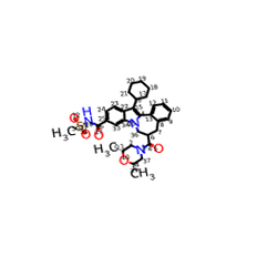 C[C@@H]1CN(C(=O)C2Cc3ccccc3-c3c(C4CCCCC4)c4ccc(C(=O)NS(C)(=O)=O)cc4n3C2)C[C@H](C)O1